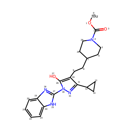 CC(C)(C)OC(=O)N1CCC(CCc2c(C3CC3)nn(-c3nc4ccccc4[nH]3)c2O)CC1